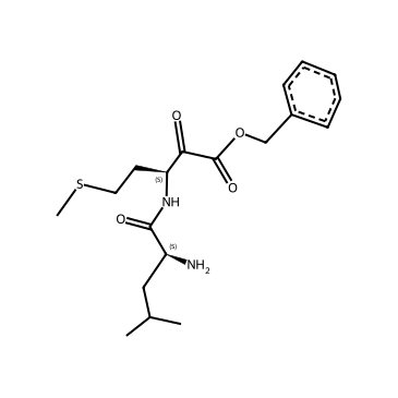 CSCC[C@H](NC(=O)[C@@H](N)CC(C)C)C(=O)C(=O)OCc1ccccc1